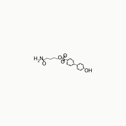 NC(=O)CCCCOS(=O)(=O)c1ccc(-c2ccc(O)cc2)cc1